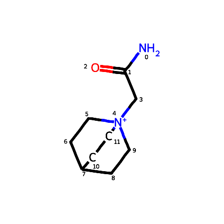 NC(=O)C[N+]12CCC(CC1)CC2